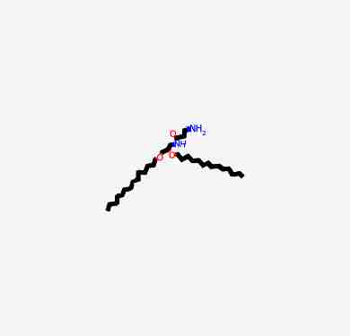 CCCCCCCCCCCCCCOCC(CNC(=O)CCN)OCCCCCCCCCCCCCC